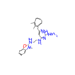 Cc1cccc(C2=CC(NCCNC3Oc4ccccc4N3C)=NC(N)N2)c1C